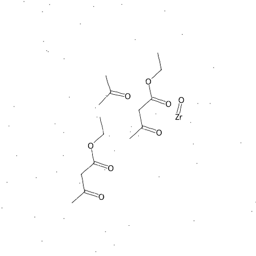 CC(C)=O.CCOC(=O)CC(C)=O.CCOC(=O)CC(C)=O.[O]=[Zr]